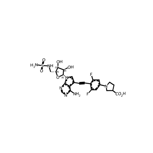 Nc1ncnc2c1c(C#Cc1c(F)cc(N3CCC(C(=O)O)C3)cc1F)cn2[C@@H]1O[C@H](CNS(N)(=O)=O)[C@@H](O)[C@H]1O